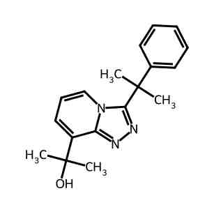 CC(C)(O)c1cccn2c(C(C)(C)c3ccccc3)nnc12